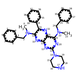 CN(Cc1ccccc1)c1nc2nc(N3CCNCC3)nc(N(C)Cc3ccccc3)c2nc1-c1ccccc1